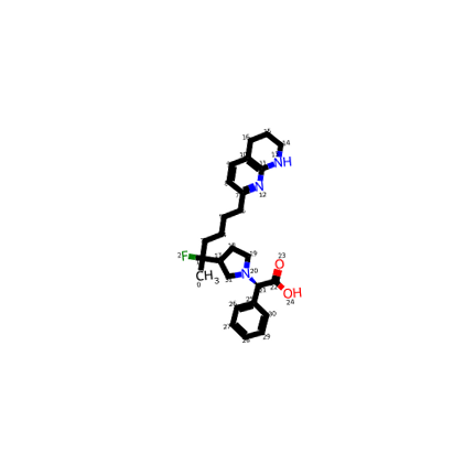 CC(F)(CCCCc1ccc2c(n1)NCCC2)C1CCN([C@@H](C(=O)O)c2ccccc2)C1